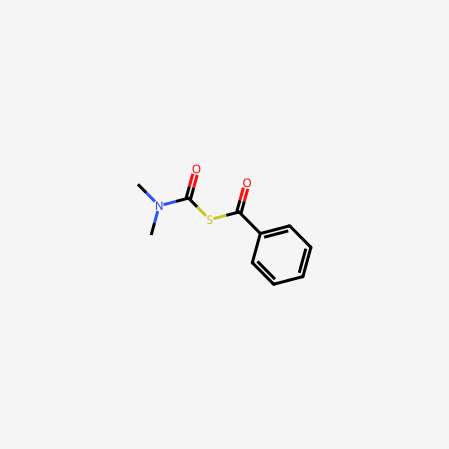 CN(C)C(=O)SC(=O)c1ccccc1